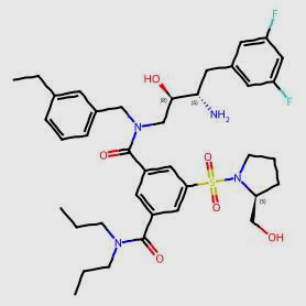 CCCN(CCC)C(=O)c1cc(C(=O)N(Cc2cccc(CC)c2)C[C@@H](O)[C@@H](N)Cc2cc(F)cc(F)c2)cc(S(=O)(=O)N2CCC[C@H]2CO)c1